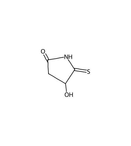 O=C1CC(O)C(=S)N1